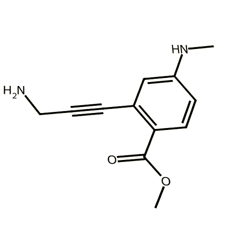 CNc1ccc(C(=O)OC)c(C#CCN)c1